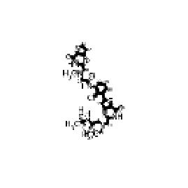 CCN(CC(=O)NC(C)(C)C)Cc1nc2cc(-c3cccc(NC(=O)CN(C)Cc4nc5ccsc5c(=O)[nH]4)c3Cl)sc2c(=O)[nH]1